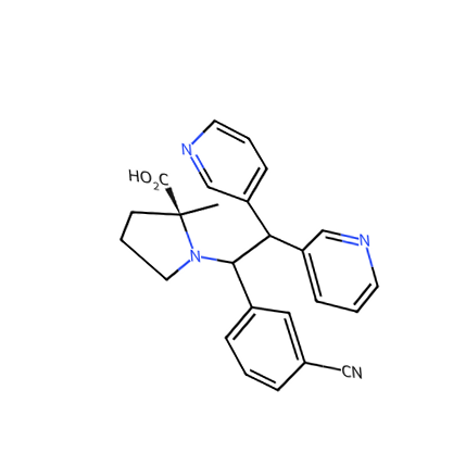 C[C@@]1(C(=O)O)CCCN1C(c1cccc(C#N)c1)C(c1cccnc1)c1cccnc1